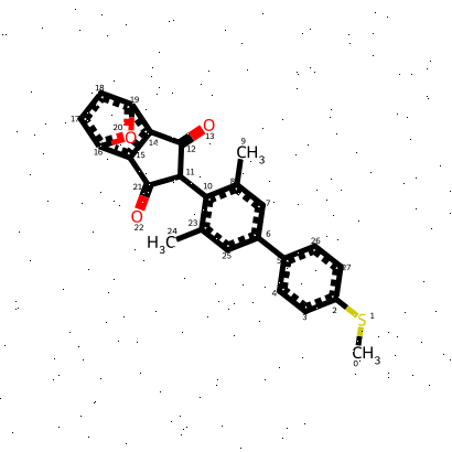 CSc1ccc(-c2cc(C)c(C3C(=O)c4c(c5ccc4o5)C3=O)c(C)c2)cc1